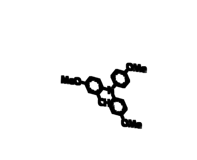 COc1ccc(N(c2ccc(OC)cc2)c2ccc(OC)cc2C)cc1